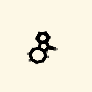 O=C1c2ccccc2C2CCCCCCC12